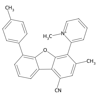 Cc1ccc(-c2cccc3c2oc2c(-c4cccc[n+]4C)c(C)cc(C#N)c23)cc1